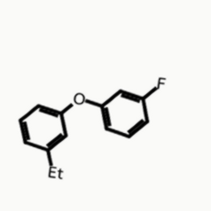 CCc1cccc(Oc2cccc(F)c2)c1